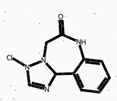 O=C1CN2C(N=CN2Cl)c2ccccc2N1